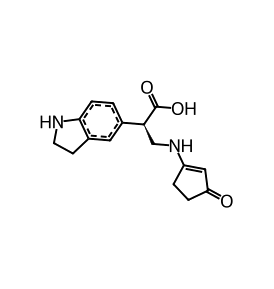 O=C1C=C(NC[C@H](C(=O)O)c2ccc3c(c2)CCN3)CC1